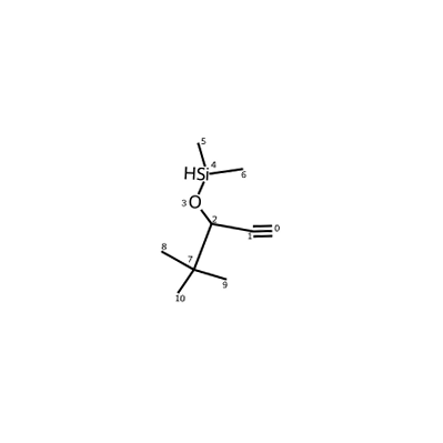 C#CC(O[SiH](C)C)C(C)(C)C